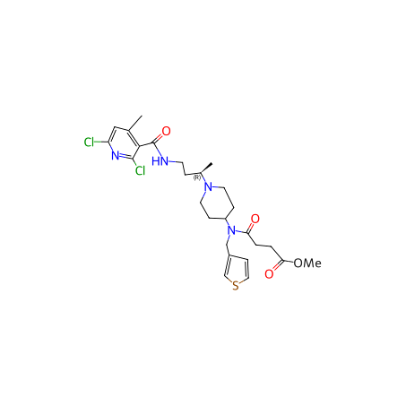 COC(=O)CCC(=O)N(Cc1ccsc1)C1CCN([C@H](C)CCNC(=O)c2c(C)cc(Cl)nc2Cl)CC1